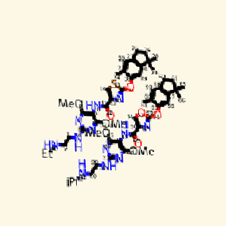 CCNCCNc1nc(OC)c(NC(=O)c2csc(Oc3cc4c(cc3C)CCC4(C)C)n2)c(OC)n1.COc1nc(NCCNC(C)C)nc(OC)c1NC(=O)c1coc(Oc2cc3c(cc2C)CCC3(C)C)n1